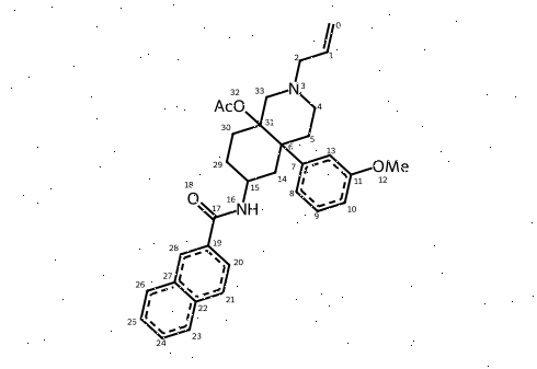 C=CCN1CCC2(c3cccc(OC)c3)CC(NC(=O)c3ccc4ccccc4c3)CCC2(OC(C)=O)C1